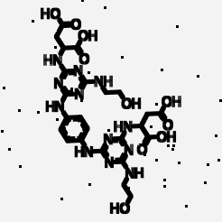 O=C(O)CC(Nc1nc(NCCO)nc(Nc2ccc(Nc3nc(NCCO)nc(NC(CC(=O)O)C(=O)O)n3)cc2)n1)C(=O)O